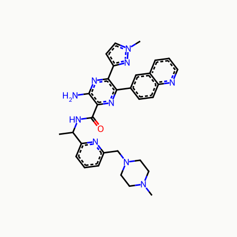 CC(NC(=O)c1nc(-c2ccc3ncccc3c2)c(-c2ccn(C)n2)nc1N)c1cccc(CN2CCN(C)CC2)n1